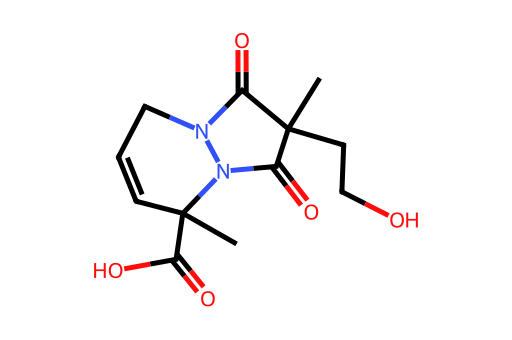 CC1(CCO)C(=O)N2CC=CC(C)(C(=O)O)N2C1=O